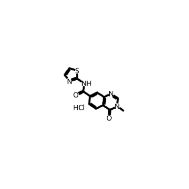 Cl.Cn1cnc2cc(C(=O)Nc3nccs3)ccc2c1=O